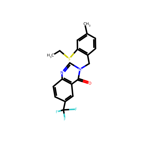 CCSc1cc(C)ccc1Cn1cnc2ccc(C(F)(F)F)cc2c1=O